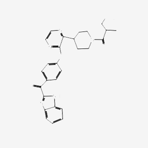 CC(CC(=O)O)C(=O)N1CCC(c2nccnc2Oc2ccc(C(=O)c3nc4ccccc4[nH]3)cc2)CC1